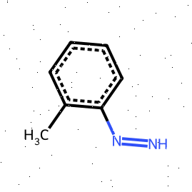 Cc1ccccc1N=N